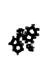 C[CH](C)[Zr+2]([CH]1C=Cc2ccccc21)[CH]1C=Cc2ccccc21.[Cl-].[Cl-]